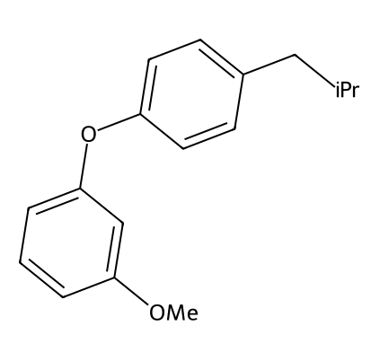 COc1cccc(Oc2ccc(CC(C)C)cc2)c1